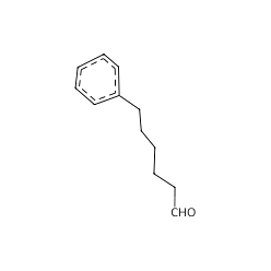 O=CCCCCCc1ccccc1